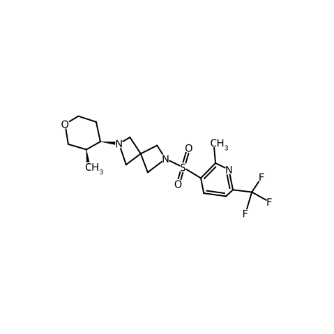 Cc1nc(C(F)(F)F)ccc1S(=O)(=O)N1CC2(CN([C@@H]3CCOC[C@@H]3C)C2)C1